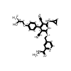 CNC(=O)c1cc(CSc2nc(NC3CC3)c(C#N)c(-c3ccc(OC[C@H](C)O)cc3)c2C#N)ccn1